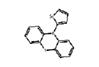 c1c[se]c(N2c3ccccc3Sc3ccccc32)c1